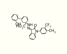 Cc1ccc(N2C(=O)C(=NNC3(C(=O)O)C=CC=C(c4ccccc4O)C3)c3ccccc32)cc1C(F)(F)F